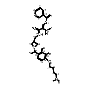 C=C(S/C=C(\NC)C(=O)NCC1CN(C(C)c2ccc(OCCCCN(C)C)c(C)c2C)C1)c1cccnc1